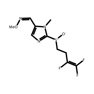 CO/N=C\c1cnc([S+]([O-])CCC(F)=C(F)F)n1C